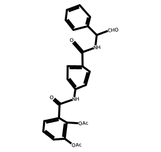 CC(=O)Oc1cccc(C(=O)Nc2ccc(C(=O)NC(C=O)c3ccccc3)cc2)c1OC(C)=O